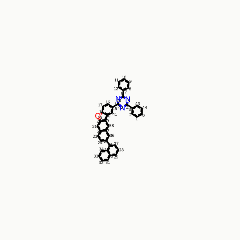 c1ccc(-c2nc(-c3ccccc3)nc(-c3ccc4oc5cc6ccc(-c7cccc8ccccc78)cc6cc5c4c3)n2)cc1